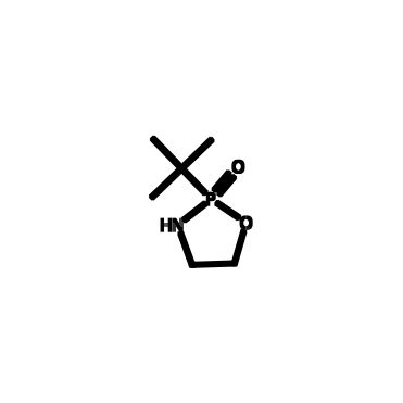 CC(C)(C)P1(=O)NCCO1